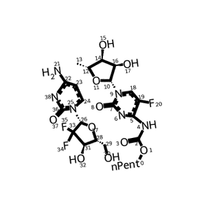 CCCCCOC(=O)Nc1nc(=O)n([C@@H]2O[C@H](C)[C@@H](O)[C@H]2O)cc1F.Nc1ccn([C@@H]2O[C@H](CO)[C@@H](O)C2(F)F)c(=O)n1